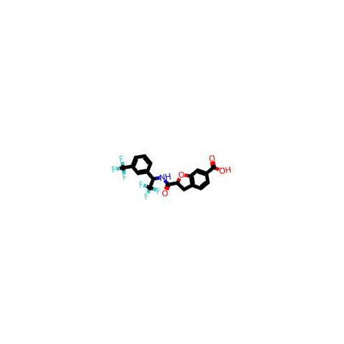 O=C(O)c1ccc2c(c1)OC(C(=O)NC(c1cccc(C(F)(F)F)c1)C(F)(F)F)C2